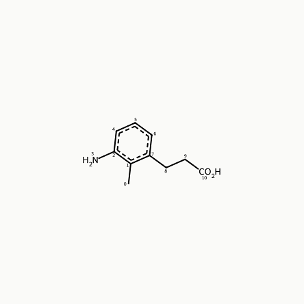 Cc1c(N)cccc1CCC(=O)O